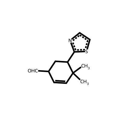 CC1(C)C=CC(C=O)CC1c1nccs1